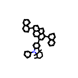 CC1CCCC2(C)c3cc(-c4cc(-c5cccc6ccccc56)c5ccc6ccc(-c7cccc8ccccc78)c7ccc4c5c67)ccc3N(c3ccccc3)C12C